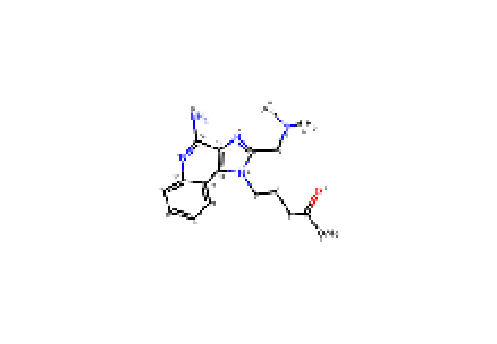 COC(=O)CCCn1c(CN(C)C(C)=O)nc2c(N)nc3ccccc3c21